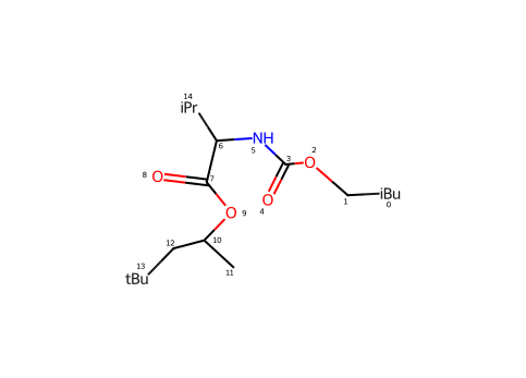 CCC(C)COC(=O)NC(C(=O)OC(C)CC(C)(C)C)C(C)C